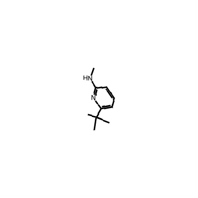 CNc1cccc(C(C)(C)C)n1